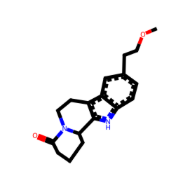 COCCc1ccc2[nH]c3c(c2c1)CCN1C(=O)CCCC31